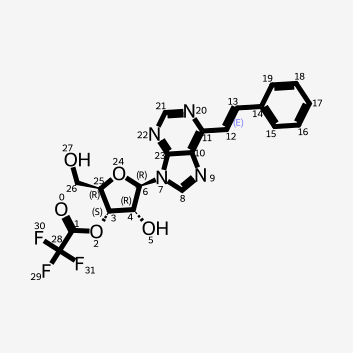 O=C(O[C@H]1[C@@H](O)[C@H](n2cnc3c(/C=C/c4ccccc4)ncnc32)O[C@@H]1CO)C(F)(F)F